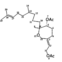 CC(=O)OCC=C1CC[C@@H](OC(C)=O)C(C)(CCCC(C)CCC=C(C)C)OC1